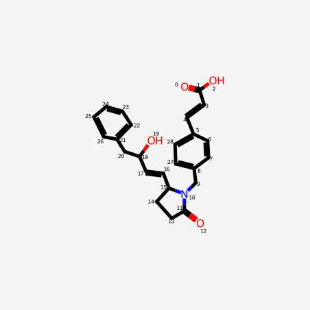 O=C(O)C=Cc1ccc(CN2C(=O)CCC2C=CC(O)Cc2ccccc2)cc1